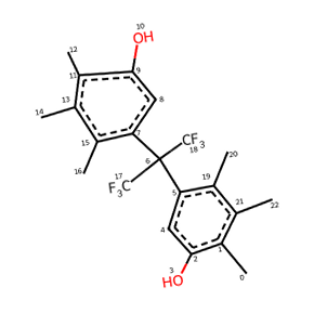 Cc1c(O)cc(C(c2cc(O)c(C)c(C)c2C)(C(F)(F)F)C(F)(F)F)c(C)c1C